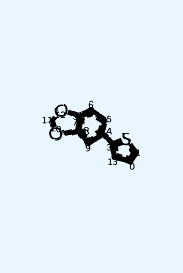 c1csc(-c2ccc3c(c2)OCO3)c1